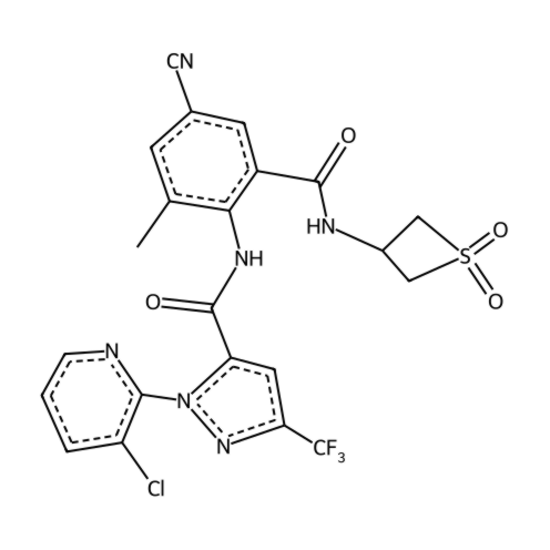 Cc1cc(C#N)cc(C(=O)NC2CS(=O)(=O)C2)c1NC(=O)c1cc(C(F)(F)F)nn1-c1ncccc1Cl